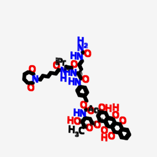 CC(=O)[C@]1(O)Cc2c(O)c3c(c(O)c2[C@@H](O[C@H]2CC(NC(=O)OCc4ccc(NC(=O)[C@H](CCCNC(N)=O)NC(=O)[C@@H](NC(=O)CCCCCN5C6OC6CCC6OC65)C(C)C)cc4)[C@H](O)[C@H](C)O2)C1)C(=O)c1ccccc1C3=O